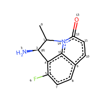 CC1[C@H](N)c2c(F)ccc3ccc(=O)n1c23